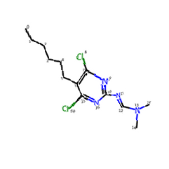 CCCCCCc1c(Cl)nc(/N=C/N(C)C)nc1Cl